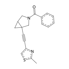 Cc1nc(C#CC23CC2CN(C(=O)c2ccccc2)C3)cs1